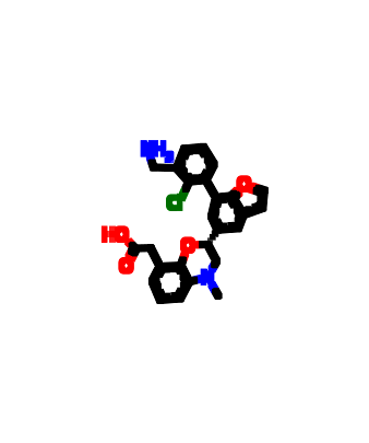 CN1C[C@@H](c2cc(-c3cccc(CN)c3Cl)c3occc3c2)Oc2c(CC(=O)O)cccc21